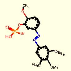 COc1cc(N=Nc2ccc(OC(F)(F)F)c(OP(=O)(O)O)c2)cc(OC)c1OC